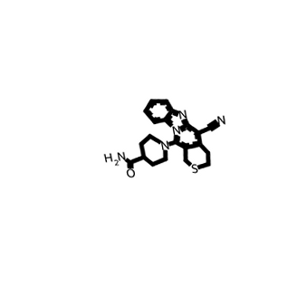 N#Cc1c2c(c(N3CCC(C(N)=O)CC3)n3c1nc1ccccc13)CSCC2